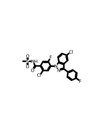 CS(=O)(=O)NC(=O)c1cc(F)c(-n2nc(-c3ccc(F)cc3)c3cc(Cl)ccc32)cc1Cl